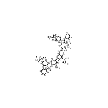 CC(C)c1c2cc3sc4c(c3cc2cc2c1sc1c(N)c(C3CC3(c3ccccc3)c3ccc(C(C)(C)C)cc3)ccc12)C=CC(C)(N(c1ccccc1)c1ccc(C(C)(C)C)cc1)C4N